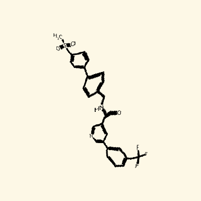 CS(=O)(=O)c1ccc(-c2ccc(CNC(=O)c3cncc(-c4cccc(C(F)(F)F)c4)c3)cc2)cc1